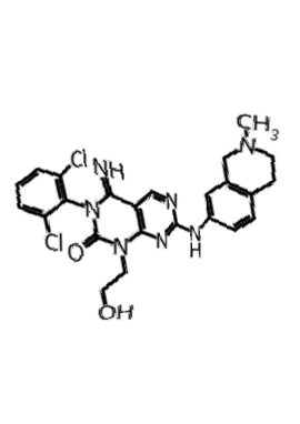 CN1CCc2ccc(Nc3ncc4c(=N)n(-c5c(Cl)cccc5Cl)c(=O)n(CCO)c4n3)cc2C1